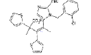 CCCCc1ncc(/C(C)=C(/c2cccs2)C(C)(C(=O)O)c2cccs2)n1Cc1ccccc1Cl